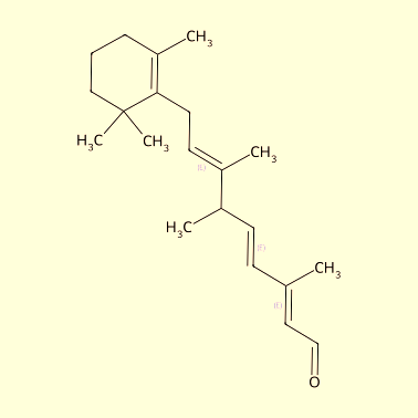 CC1=C(C/C=C(\C)C(C)/C=C/C(C)=C/C=O)C(C)(C)CCC1